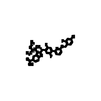 CO[C@H](C)[C@@H](C)n1c(Cc2cc(F)c(-c3cccc(OCc4ccc(Cl)cc4F)n3)cc2F)nc2ccc(C(=O)O)cc21